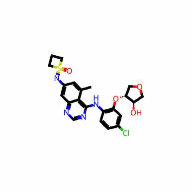 Cc1cc(N=S2(=O)CCC2)cc2ncnc(Nc3ccc(Cl)cc3O[C@@H]3COC[C@H]3O)c12